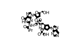 CC(C)C(=O)Nc1nc2c(ncn2[C@@H]2O[C@H](CO)C[C@H]2OS(=O)(=O)NC[C@H]2C[C@@H](n3cnc4cncnc43)C[C@@H]2O[PH](=O)O)c(=O)[nH]1